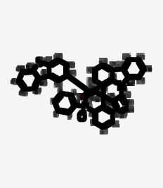 O=P1(c2ccccc2)c2ccccc2C2(c3ccccc3-n3c4ccccc4c4cccc2c43)c2ccc(-c3ccc4sc5ccccc5c4c3)cc21